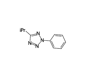 CC(C)c1nnn(-c2ccccc2)n1